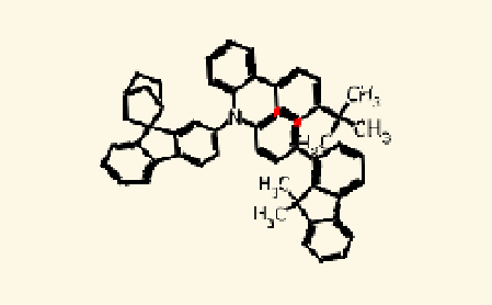 CC(C)(C)c1ccc(-c2ccccc2N(c2ccc(-c3cccc4c3C(C)(C)c3ccccc3-4)cc2)c2ccc3c(c2)C2(CC4CCC2C4)c2ccccc2-3)cc1